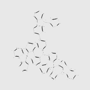 c1ccc(-n2c3ccccc3c3ccc(-c4ccc(N(c5cccc6c5-c5ccccc5C65c6ccccc6-c6ccccc65)c5cccc6c5-c5ccccc5C65c6ccccc6-n6c7ccccc7c7cccc5c76)cc4)cc32)cc1